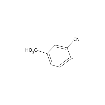 N#Cc1[c]ccc(C(=O)O)c1